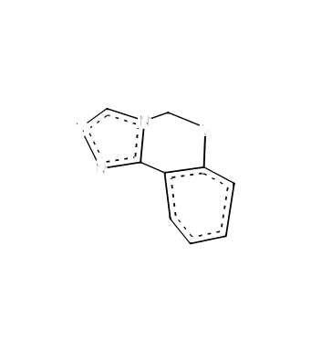 c1ccc2c(c1)SCn1cnnc1-2